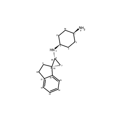 N[C@H]1CC[C@@H](N[C@@H]2C[C@]23CCc2ccccc23)CC1